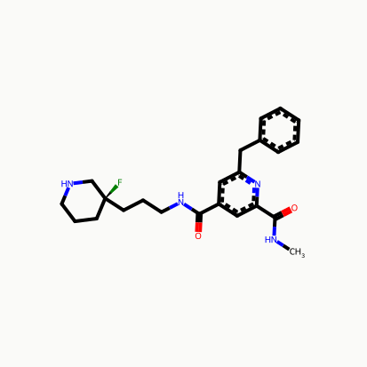 CNC(=O)c1cc(C(=O)NCCC[C@]2(F)CCCNC2)cc(Cc2ccccc2)n1